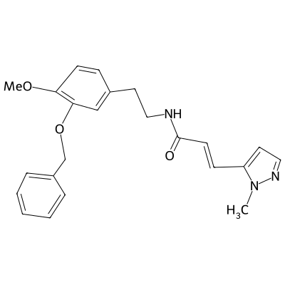 COc1ccc(CCNC(=O)/C=C/c2ccnn2C)cc1OCc1ccccc1